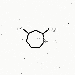 CCCC1CCCNC(C(=O)O)C1